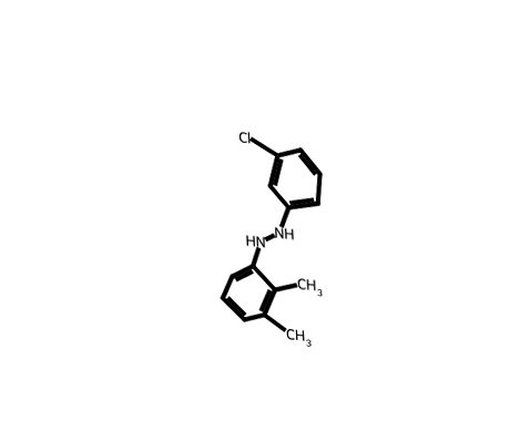 Cc1cccc(NNc2cccc(Cl)c2)c1C